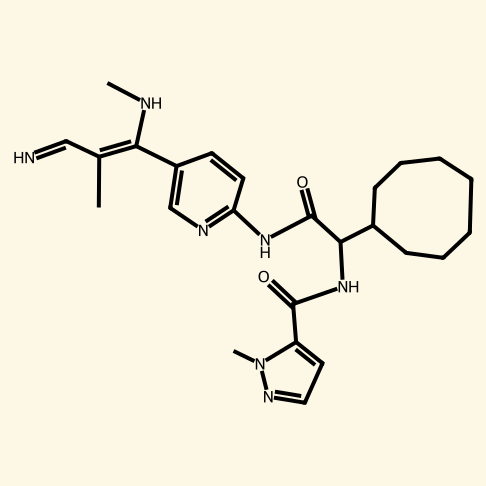 CN/C(=C(/C)C=N)c1ccc(NC(=O)C(NC(=O)c2ccnn2C)C2CCCCCCC2)nc1